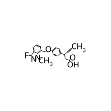 CC#C[C@@H](CC(=O)O)c1ccc(OCc2cccc3c(F)nn(C)c23)cc1